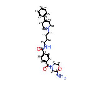 NC1CN(C(=O)c2ccc(C(=O)NCCCCN3CC=C(c4ccccc4)CC3)cc2)CCO1